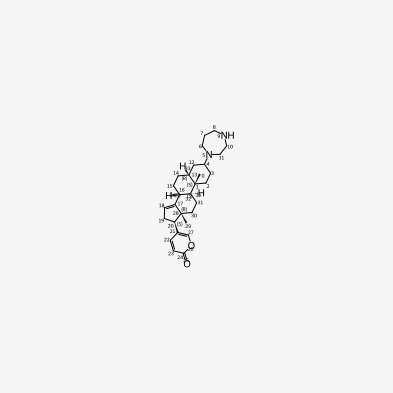 C[C@]12CCC(N3CCCNCC3)C[C@H]1CC[C@H]1C3=CC[C@H](c4ccc(=O)oc4)[C@@]3(C)CC[C@@H]12